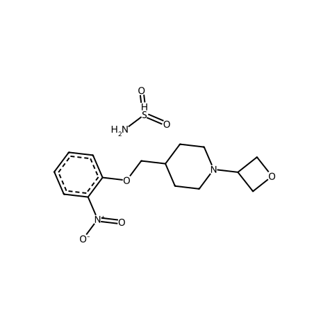 N[SH](=O)=O.O=[N+]([O-])c1ccccc1OCC1CCN(C2COC2)CC1